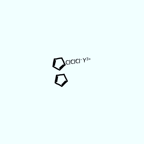 C1=CCC=C1.C1=CCC=C1.[Cl-].[Cl-].[Cl-].[Y+3]